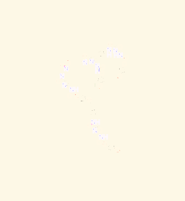 CN(C(=O)OC(C)(C)C)C1CCN(C(=O)c2csc(CNC(=O)COc3ccc(OC(F)(F)F)cc3)n2)C1.O=C(COc1ccc(OC(F)(F)F)cc1)NCc1nc(C(=O)N2CCC3CCCCC3C2)cs1.O=C(COc1ccc(OC(F)(F)F)cc1)NCc1nc(C(=O)NC2CCCc3ccccc32)co1.O=C(COc1ccc(OC(F)(F)F)cc1)NCc1nc(C(=O)NCc2ccc(F)cc2)co1